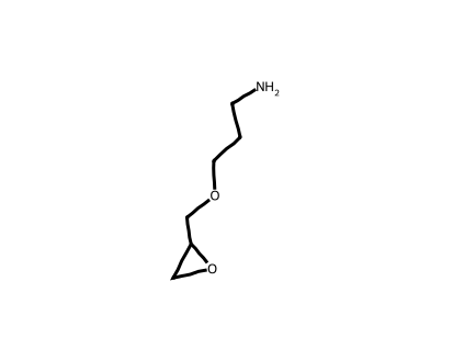 NCCCOCC1CO1